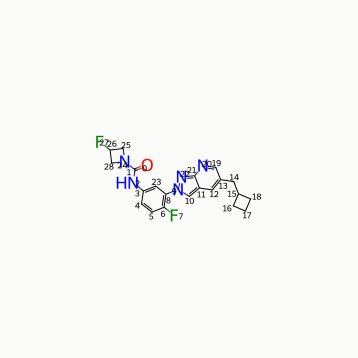 O=C(Nc1ccc(F)c(-n2cc3cc(CC4CCC4)cnc3n2)c1)N1CC(F)C1